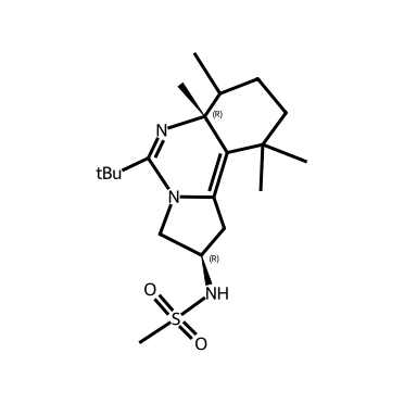 CC1CCC(C)(C)C2=C3C[C@@H](NS(C)(=O)=O)CN3C(C(C)(C)C)=N[C@@]21C